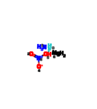 F.N.O=[N+]([O-])O.[MgH2]